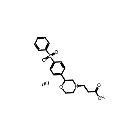 Cl.O=C(O)CCN1CCOC(c2ccc(S(=O)(=O)c3ccccc3)cc2)C1